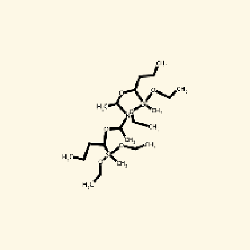 CCCC(OC(C)NC(C)OC(CCC)[Si](C)(OCC)OCC)[Si](C)(OCC)OCC